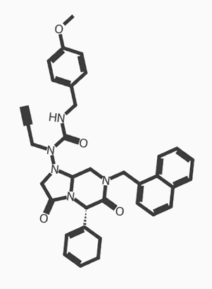 C#CCN(C(=O)NCc1ccc(OC)cc1)N1CC(=O)N2C1CN(Cc1cccc3ccccc13)C(=O)[C@@H]2C1=CC=CCC1